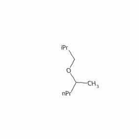 CCCC(C)OCC(C)C